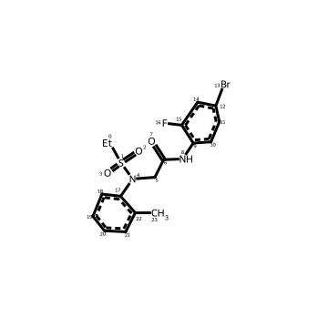 CCS(=O)(=O)N(CC(=O)Nc1ccc(Br)cc1F)c1ccccc1C